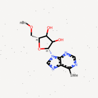 CCCCOC[C@H]1O[C@@H](n2cnc3c(SC)ncnc32)C(O)C1O